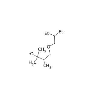 CCC(CC)COCC(C)C(C)(C)[O]